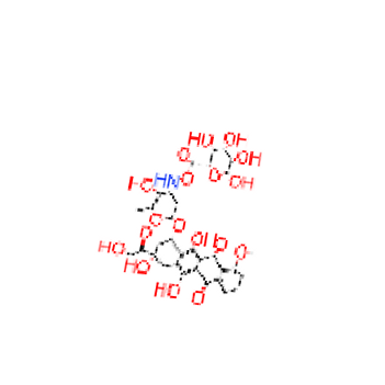 COc1cccc2c1C(=O)c1c(O)c3c(c(O)c1C2=O)C[C@@](O)(C(=O)CO)C[C@@H]3OC1CC(NOC(=O)[C@H]2O[C@@H](O)[C@H](O)[C@@H](O)[C@@H]2O)C(O)C(C)O1